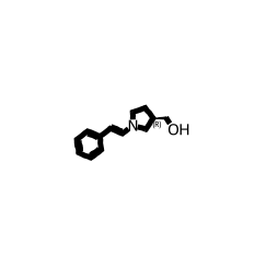 OC[C@@H]1CCN(C=Cc2ccccc2)C1